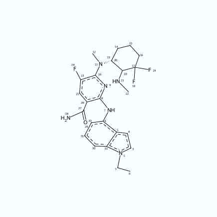 CCn1ccc2c(Nc3nc(N(C)[C@@H]4CCCC(F)(F)C4NC)c(F)cc3C(N)=O)cccc21